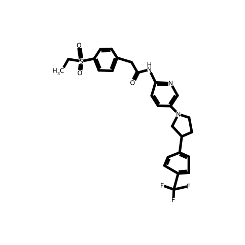 CCS(=O)(=O)c1ccc(CC(=O)Nc2ccc(N3CCC(c4ccc(C(F)(F)F)cc4)C3)cn2)cc1